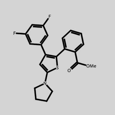 COC(=O)c1ccccc1-c1sc(N2CCCC2)cc1-c1cc(F)cc(F)c1